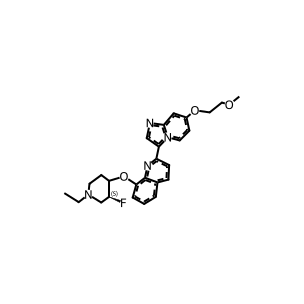 CCN1CCC(Oc2cccc3ccc(-c4cnc5cc(OCCOC)ccn45)nc23)[C@@H](F)C1